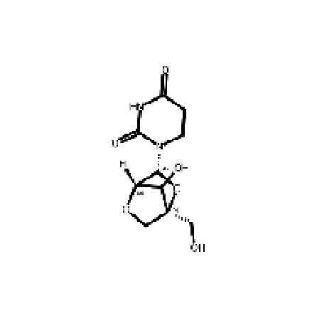 O=C1CCN([C@@H]2O[C@@]3(CO)CO[C@H]2C3O)C(=O)N1